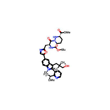 CCn1c(-c2cccnc2[C@H](C)OC)c(CC(C)(C)CO)c2cc(-c3cnc(C[C@H](NC(=O)OC(C)(C)C)C(=O)N4CCC[C@@H](C(=O)OC)N4)o3)ccc21